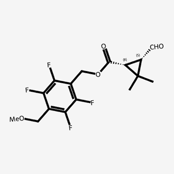 COCc1c(F)c(F)c(COC(=O)[C@@H]2[C@H](C=O)C2(C)C)c(F)c1F